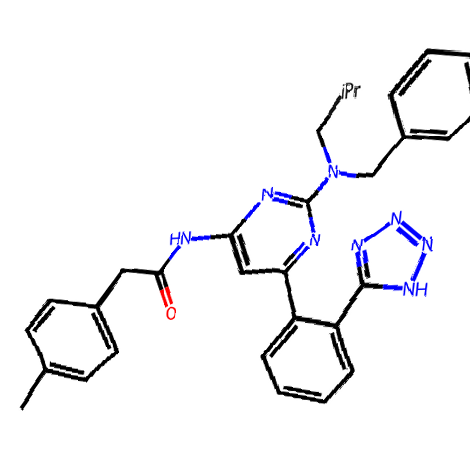 Cc1ccc(CC(=O)Nc2cc(-c3ccccc3-c3nnn[nH]3)nc(N(Cc3ccccc3)CC(C)C)n2)cc1